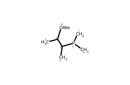 COC(C)C(C)P(C)C